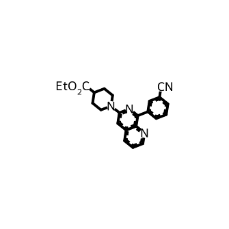 CCOC(=O)C1CCN(c2cc3cccnc3c(-c3cccc(C#N)c3)n2)CC1